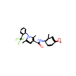 COc1ccc(NC(=O)c2cc(C)n(-c3ccccc3C(F)(F)F)c2C)c(C)c1